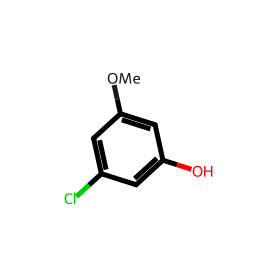 COc1cc(O)cc(Cl)c1